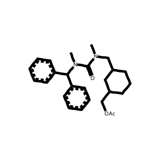 CC(=O)OCC1CCCC(CN(C)C(=O)N(C)C(c2ccccc2)c2ccccc2)C1